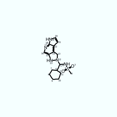 CS(=O)(=O)NC(C1CCCCC1)N1Cc2c(cnc3[nH]ccc23)N1